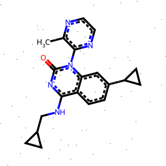 Cc1nccnc1-n1c(=O)nc(NCC2CC2)c2ccc(C3CC3)cc21